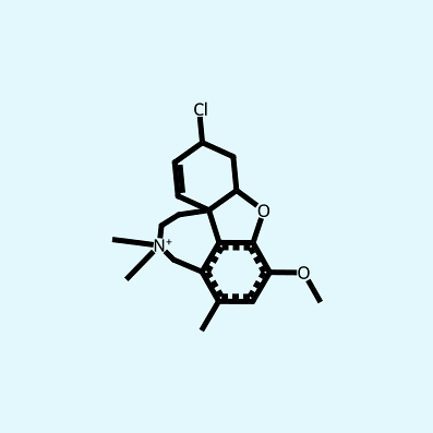 COc1cc(C)c2c3c1OC1CC(Cl)C=CC31CC[N+](C)(C)C2